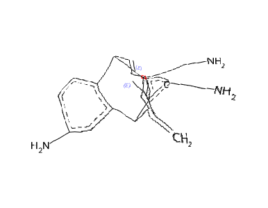 C=C1/C=C(N)\C=C/C2c3ccc(N)cc3C1c1cc(N)ccc12